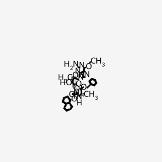 CCOc1nc(N)nc2c1ncn2C1O[C@H](COP(=O)(N[C@@H](C)C(=O)OCc2ccccc2)Oc2cccc3ccccc23)[C@@H](O)[C@@]1(C)O